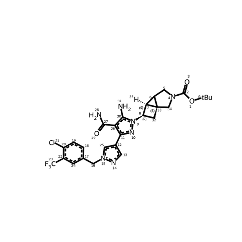 CC(C)(C)OC(=O)N1CC2[C@@H]3[C@H](n4nc(-c5cnn(Cc6ccc(Cl)c(C(F)(F)F)c6)c5)c(C(N)=O)c4N)C[C@]23C1